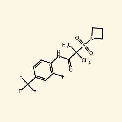 CC(C)(C(=O)Nc1ccc(C(F)(F)F)cc1F)S(=O)(=O)N1CCC1